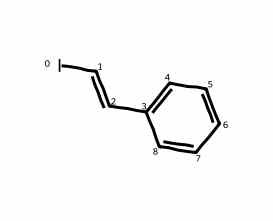 IC=Cc1ccccc1